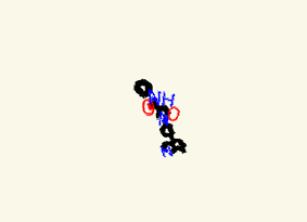 Cc1ccc(-c2ccc(N3CC(C(=O)Nc4ccccc4)CC3=O)cc2)c2ccncc12